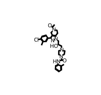 CC(=O)N1CCc2c(c(-c3ccc(Cl)c(C)c3)nn2CC(O)CN2CCN(C(=O)Nc3ccccc3C)CC2)C1